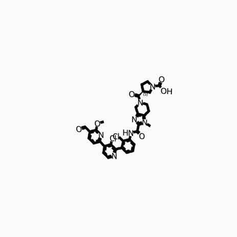 COc1nc(-c2ccnc(-c3cccc(NC(=O)c4nc5c(n4C)CCN(C(=O)[C@H]4CCN(C(=O)O)C4)C5)c3Cl)c2Cl)ccc1C=O